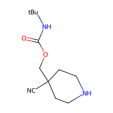 CC(C)(C)NC(=O)OCC1(C#N)CCNCC1